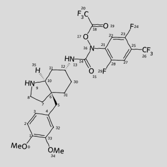 COc1ccc(C[C@@]23CCN[C@H]2C[C@H](NC(=O)N(OC(=O)C(F)(F)F)c2cc(F)c(C(F)(F)F)cc2F)CC3)cc1OC